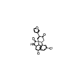 O=C1C[C@@H](c2cccc(Cl)c2)[C@@]2(C=C1c1ccoc1)C(=O)Nc1cc(Cl)ccc12